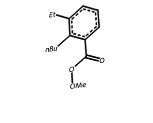 CCCCc1c(CC)cccc1C(=O)OOC